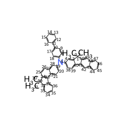 CC1(C)c2cc(N(c3ccc(-c4ccccc4)cc3)c3ccc4c5c(ccc4c3)C(C)(C)c3ccccc3-5)ccc2-c2cc3ccccc3cc21